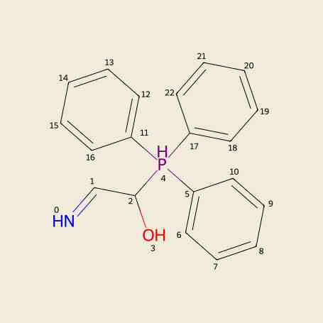 N=CC(O)[PH](c1ccccc1)(c1ccccc1)c1ccccc1